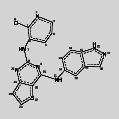 Clc1ncccc1Nc1nc(Nc2ccc3[nH]ncc3c2)c2sccc2n1